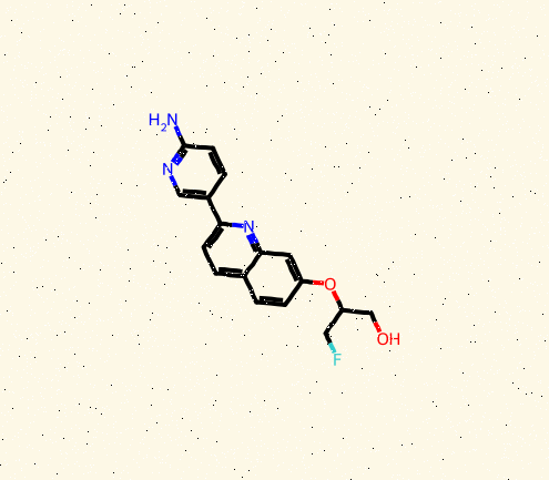 Nc1ccc(-c2ccc3ccc(OC(CO)CF)cc3n2)cn1